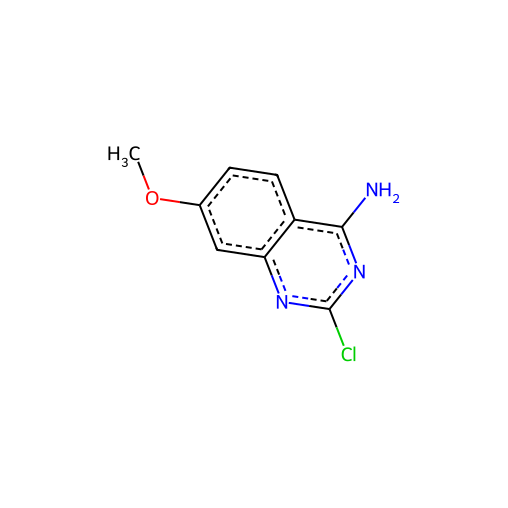 COc1ccc2c(N)nc(Cl)nc2c1